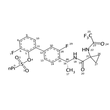 CCCS(=O)(=O)Oc1c(F)cccc1-c1ccc([C@@H](C)NC(=O)C2(NC(=O)C(F)(F)F)CC2)c(F)c1